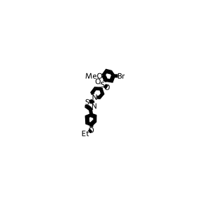 CCOc1ccc(-c2csc(N3CCC(S(=O)(=O)c4cc(Br)ccc4OC)CC3)n2)cc1